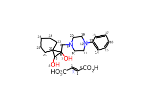 O=C(O)/C=C/C(=O)O.OC1C(O)(CN2CCN(c3ccccc3)CC2)C12CCCCC2